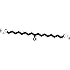 CCCCCCCCCC([O])CCCCCCCCC